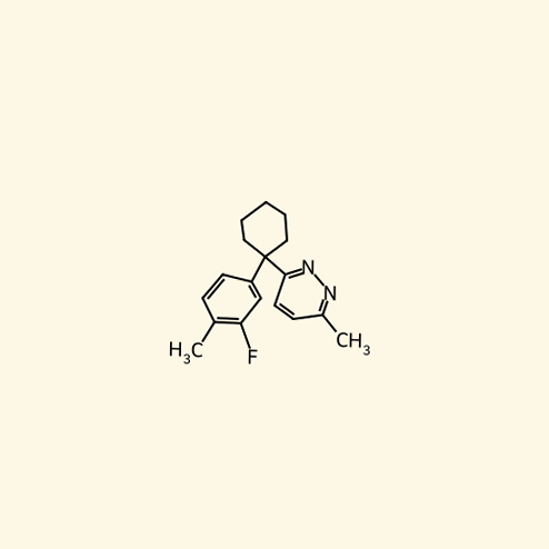 Cc1ccc(C2(c3ccc(C)c(F)c3)CCCCC2)nn1